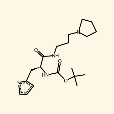 CC(C)(C)OC(=O)N[C@@H](Cc1cccs1)C(=O)NCCCN1CCCC1